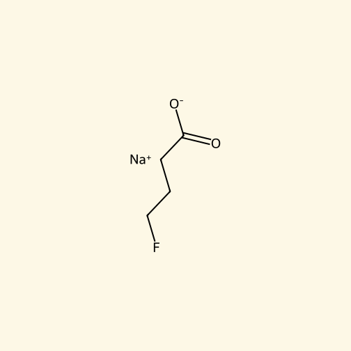 O=C([O-])CCCF.[Na+]